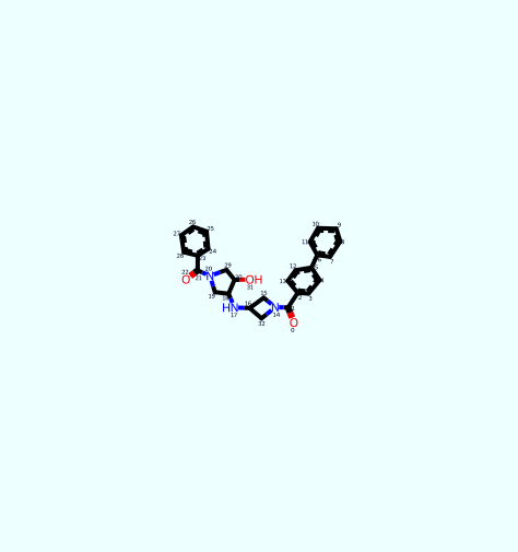 O=C(c1ccc(-c2ccccc2)cc1)N1CC(NC2CN(C(=O)c3ccccc3)CC2O)C1